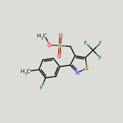 COS(=O)(=O)Cc1c(-c2ccc(C)c(F)c2)nsc1C(F)(F)F